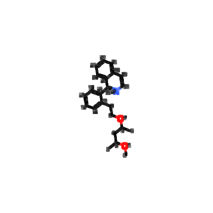 COC(C)CC(C)OCCc1ccccc1-c1nccc2ccccc12